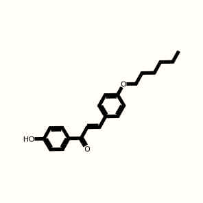 CCCCCCOc1ccc(/C=C/C(=O)c2ccc(O)cc2)cc1